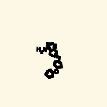 Nc1ncnc2c1CCN(Cc1ccc(Oc3ccccc3)cc1)C2